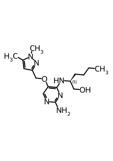 CCCC[C@@H](CO)Nc1nc(N)ncc1OCc1cc(C)n(C)n1